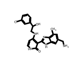 Cc1cc(CN)cc2[nH]c(-c3c(NCC(O)c4cccc(Cl)c4)cc[nH]c3=O)nc12